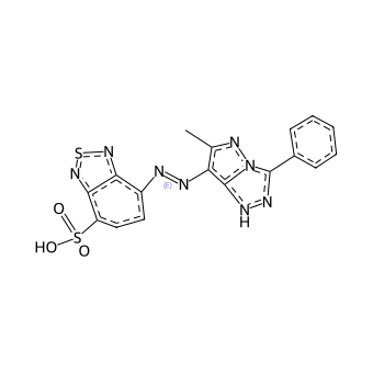 Cc1nn2c(-c3ccccc3)n[nH]c2c1/N=N/c1ccc(S(=O)(=O)O)c2nsnc12